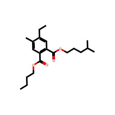 CCCCOC(=O)c1cc(C)c(CC)cc1C(=O)OCCCC(C)C